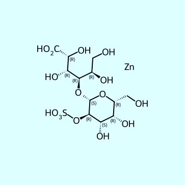 O=C(O)[C@H](O)[C@@H](O)[C@H](O[C@@H]1O[C@H](CO)[C@H](O)[C@H](O)[C@H]1OS(=O)(=O)O)[C@H](O)CO.[Zn]